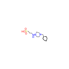 O=S(=O)(O)CCCNN1CCN(Cc2ccccc2)CC1